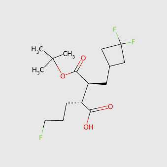 CC(C)(C)OC(=O)[C@@H](CC1CC(F)(F)C1)[C@@H](CCCF)C(=O)O